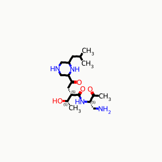 CC(=O)[C@H](CN)NC(=O)[C@@H](CC(=O)C1CNCC(CC(C)C)N1)[C@H](C)O